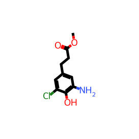 COC(=O)CCc1cc(N)c(O)c(Cl)c1